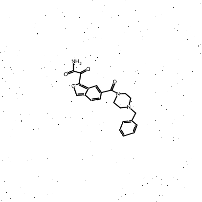 NC(=O)C(=O)c1occ2ccc(C(=O)N3CCN(Cc4ccccc4)CC3)cc12